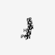 Cc1nc2cnc(Nc3ccnc(N4CCC(F)(F)CC4)n3)cc2n1C(C)C